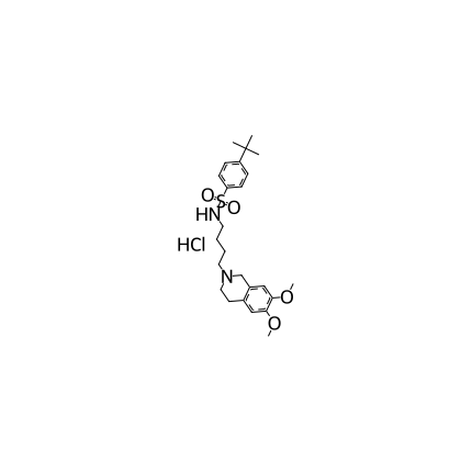 COc1cc2c(cc1OC)CN(CCCCNS(=O)(=O)c1ccc(C(C)(C)C)cc1)CC2.Cl